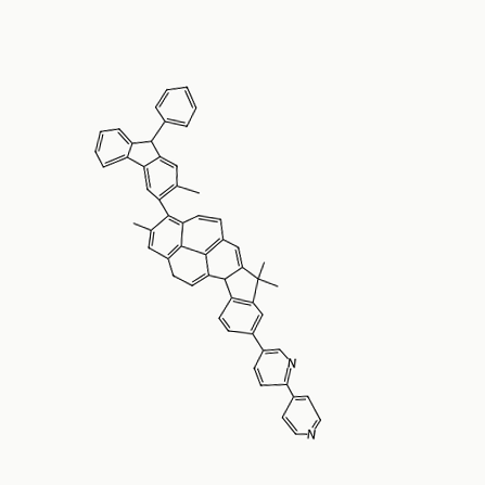 Cc1cc2c(cc1-c1c(C)cc3c4c5c(ccc14)C=C1C(C5=CC3)c3ccc(-c4ccc(-c5ccncc5)nc4)cc3C1(C)C)-c1ccccc1C2c1ccccc1